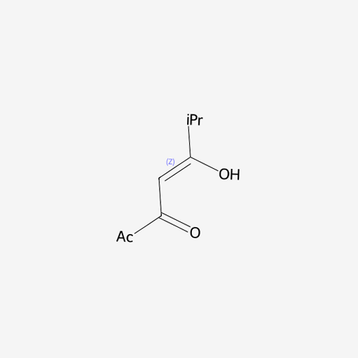 CC(=O)C(=O)/C=C(\O)C(C)C